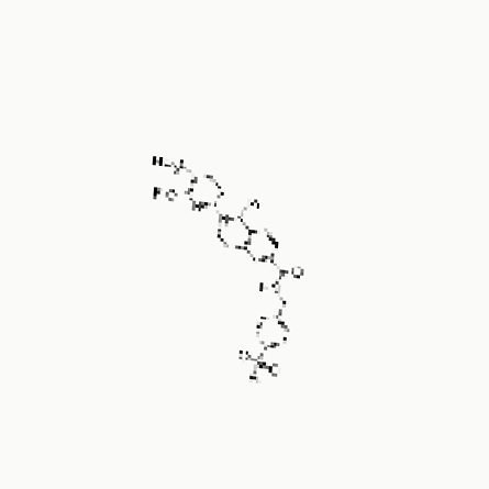 CCS(=O)(=O)c1ccc(CNC(=O)c2ccc3c(c2)CCN(c2ncc(C(=O)O)c(C(F)(F)F)n2)[C@@H]3C(C)C)cc1